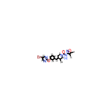 Cc1onc(NC(=O)N2CCC(=Cc3cccc(Oc4ncc(Br)cn4)c3)C(C)C2)c1C